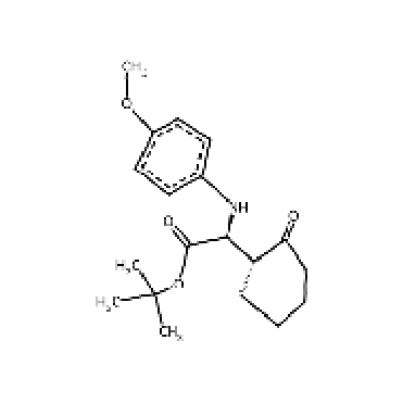 COc1ccc(N[C@H](C(=O)OC(C)(C)C)[C@H]2CCCCC2=O)cc1